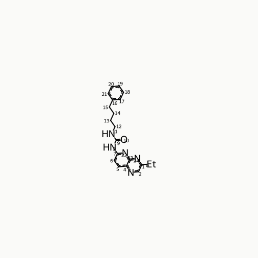 CCc1cnc2ccc(NC(=O)NCCCCc3ccccc3)nc2n1